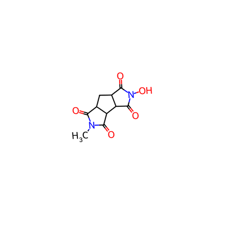 CN1C(=O)C2CC3C(=O)N(O)C(=O)C3C2C1=O